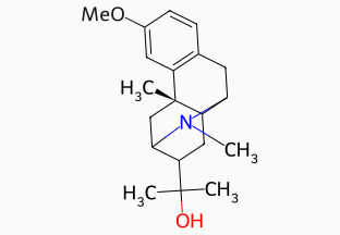 COc1ccc2c(c1)[C@@]1(C)CC3C(C(C)(C)O)CC1C(C2)N3C